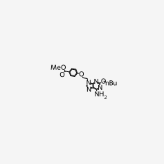 CCCCOc1nc(N)c2ncn(CCOc3ccc(C(=O)OC)cc3)c2n1